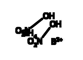 O=[N+]([O-])O.O=[N+]([O-])O.[B+3].[SiH4]